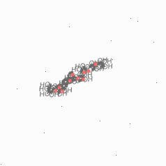 C[C@@H]1O[C@@H](O[C@@H]2[C@@H](O)[C@H](O[C@@H]3[C@@H](O)[C@@H](O)[C@H](O[C@H]4[C@H](OC(=O)[C@]56CCC(C)(C)C[C@H]5C5=CC[C@@H]7[C@@]8(C)C[C@H](O)[C@H](O[C@@H]9O[C@H](CO)[C@@H](O)[C@H](O)[C@H]9O)[C@@](C)(CO)[C@@H]8[C@H](O)C[C@@]7(C)[C@]5(C)CC6)OC[C@H](O)[C@@H]4O)O[C@H]3C)OC[C@H]2O)[C@H](O)[C@H](O)[C@H]1O